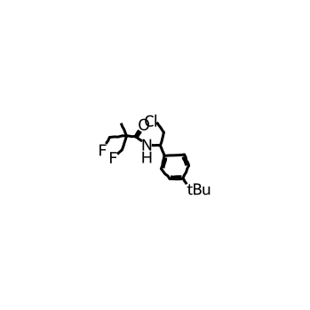 CC(CF)(CF)C(=O)NC(CCl)c1ccc(C(C)(C)C)cc1